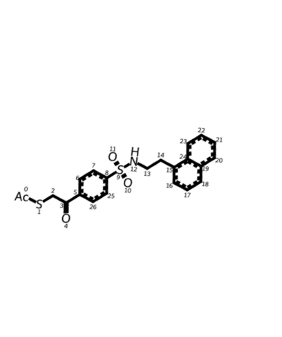 CC(=O)SCC(=O)c1ccc(S(=O)(=O)NCCc2cccc3ccccc23)cc1